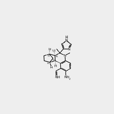 CN1c2ccc(N)c(C=N)c2[C@H]2[C@@H]3CC[C@H](C3)[C@H]2C1(C)c1c[nH]cn1